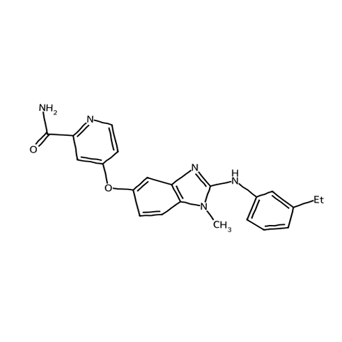 CCc1cccc(Nc2nc3cc(Oc4ccnc(C(N)=O)c4)ccc3n2C)c1